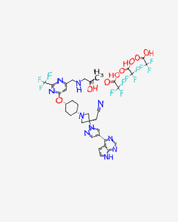 C[C@@H](O)CNCc1cc(O[C@H]2CC[C@@H](N3CC(CC#N)(n4cc(-c5ncnc6[nH]ccc56)cn4)C3)CC2)nc(C(F)(F)F)n1.O=C(O)C(F)(F)F.O=C(O)C(F)(F)F.O=C(O)C(F)(F)F